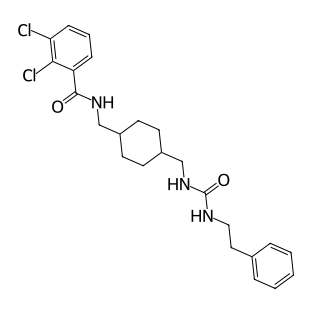 O=C(NCCc1ccccc1)NCC1CCC(CNC(=O)c2cccc(Cl)c2Cl)CC1